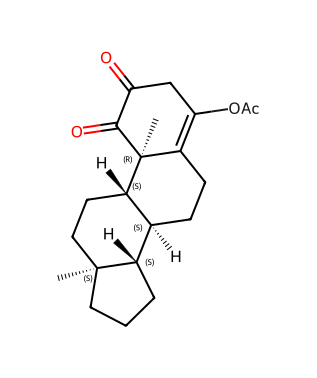 CC(=O)OC1=C2CC[C@H]3[C@@H]4CCC[C@@]4(C)CC[C@@H]3[C@@]2(C)C(=O)C(=O)C1